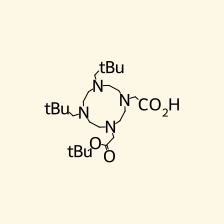 CC(C)(C)CN1CCN(CC(=O)O)CCN(CC(=O)OC(C)(C)C)CCN(CC(C)(C)C)CC1